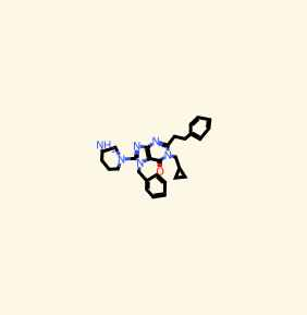 NC1CCCN(c2nc3nc(CCc4ccccc4)n(CC4CC4)c(=O)c3n2Cc2ccccc2)C1